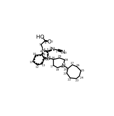 N#CN=c1n(CC(=O)O)c2ccccc2n1C1CCN(C2CCCCCCC2)CC1